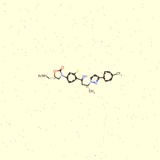 CC(=O)NC[C@H]1CN(c2ccc(C(=N)C[C@@H](C)n3ccc(-c4ccc(C(F)(F)F)cc4)n3)c(F)c2)C(=O)O1